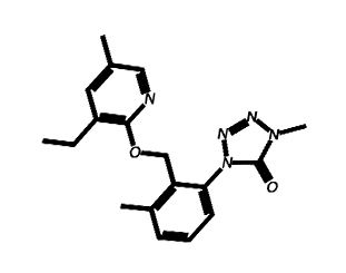 CCc1cc(C)cnc1OCc1c(C)cccc1-n1nnn(C)c1=O